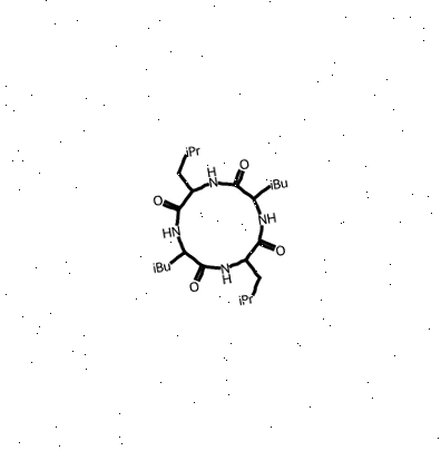 CCC(C)C1NC(=O)C(CC(C)C)NC(=O)C(C(C)CC)NC(=O)C(CC(C)C)NC1=O